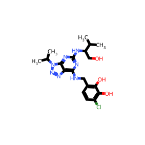 CC(C)C(CO)Nc1nc(NCc2ccc(Cl)c(O)c2O)c2nnn(C(C)C)c2n1